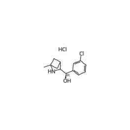 CC12CC(C1)C([C@H](O)c1cccc(Cl)c1)N2.Cl